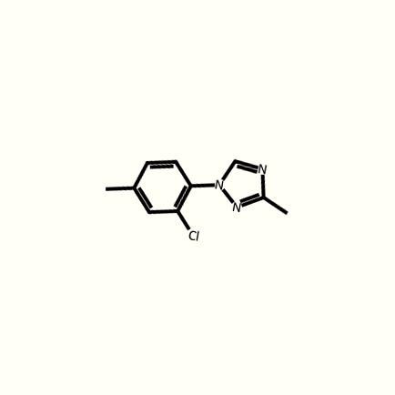 Cc1ccc(-n2cnc(C)n2)c(Cl)c1